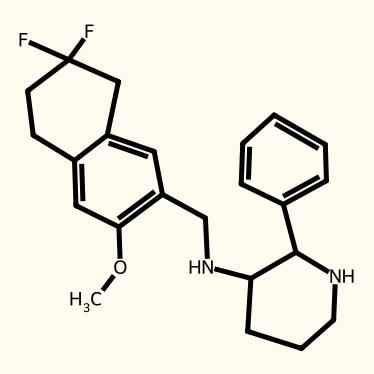 COc1cc2c(cc1CNC1CCCNC1c1ccccc1)CC(F)(F)CC2